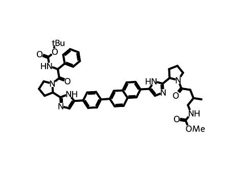 COC(=O)NCC(C)CC(=O)N1CCCC1c1ncc(-c2ccc3cc(-c4ccc(-c5cnc(C6CCCN6C(=O)C(NC(=O)OC(C)(C)C)c6ccccc6)[nH]5)cc4)ccc3c2)[nH]1